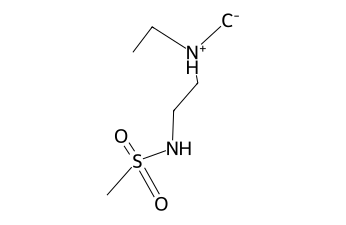 [CH2-][NH+](CC)CCNS(C)(=O)=O